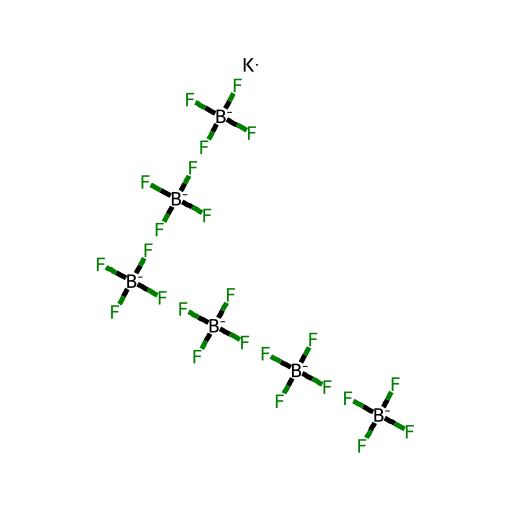 F[B-](F)(F)F.F[B-](F)(F)F.F[B-](F)(F)F.F[B-](F)(F)F.F[B-](F)(F)F.F[B-](F)(F)F.[K]